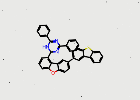 c1ccc(C2=NC(c3cccc4oc5ccc(-c6ccc7sc8ccccc8c7c6)cc5c34)NC(c3ccccc3)=N2)cc1